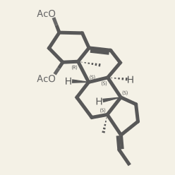 CC=C1CC[C@H]2[C@@H]3CC=C4CC(OC(C)=O)CC(OC(C)=O)[C@]4(C)[C@H]3CC[C@]12C